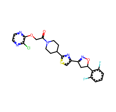 O=C(COc1nccnc1Cl)N1CCC(c2nc(C3=NOC(c4c(F)cccc4F)C3)cs2)CC1